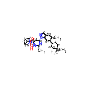 Cc1nc(N2CC3CC(C2)C3C(=O)O)cc(-n2ncc3cc(C)c(C4CCC(C)(C)CC4)cc32)n1